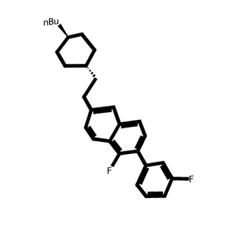 CCCC[C@H]1CC[C@H](CCc2ccc3c(F)c(-c4cccc(F)c4)ccc3c2)CC1